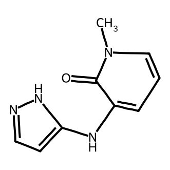 Cn1cccc(Nc2ccn[nH]2)c1=O